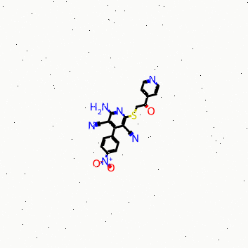 N#Cc1c(N)nc(SCC(=O)c2ccncc2)c(C#N)c1-c1ccc([N+](=O)[O-])cc1